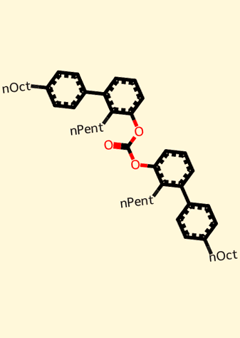 CCCCCCCCc1ccc(-c2cccc(OC(=O)Oc3cccc(-c4ccc(CCCCCCCC)cc4)c3CCCCC)c2CCCCC)cc1